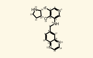 Fc1cncc(NCc2ccc3nccnc3c2)c1O[C@@H]1CCNC1